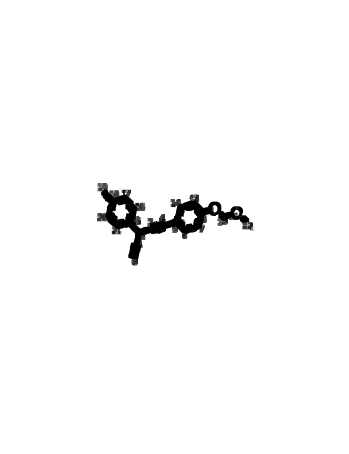 C#CC(C#Cc1ccc(OCOC)cc1)c1ccc(C)cc1